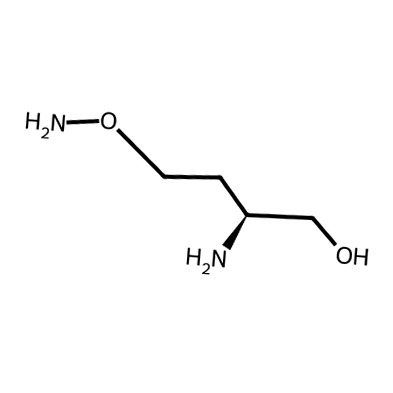 NOCC[C@H](N)CO